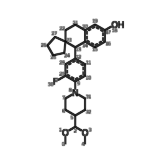 COC(OC)C1CCN(c2ccc(C3c4ccc(O)cc4CCC34CCCC4)cc2F)CC1